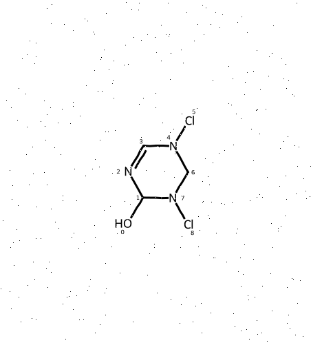 OC1N=CN(Cl)CN1Cl